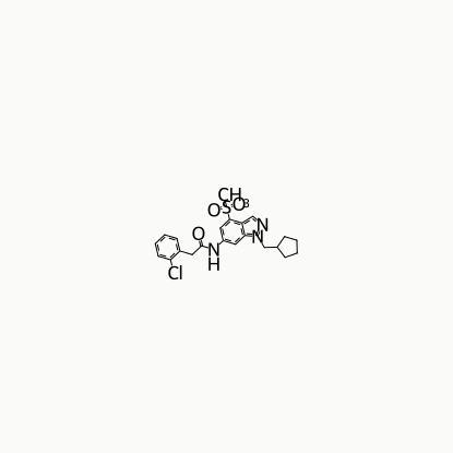 CS(=O)(=O)c1cc(NC(=O)Cc2ccccc2Cl)cc2c1cnn2CC1CCCC1